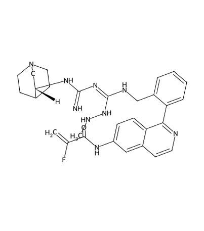 C=C(F)C(=O)Nc1ccc2c(-c3ccccc3CN/C(=N/C(=N)N[C@H]3CN4CCC3CC4)NNC)nccc2c1